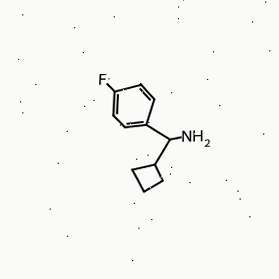 NC(c1ccc(F)cc1)C1CCC1